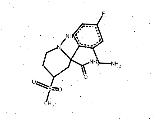 CS(=O)(=O)C1CCN(N)C(C(N)=O)(c2ccc(F)cc2CN)C1